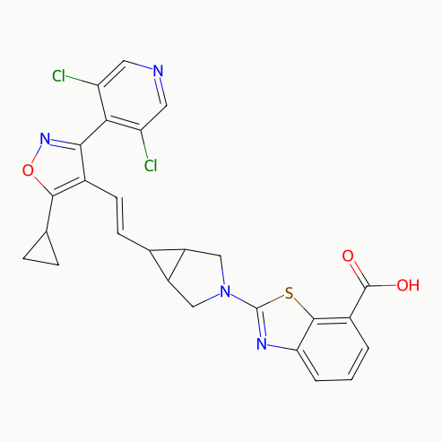 O=C(O)c1cccc2nc(N3CC4C(C=Cc5c(-c6c(Cl)cncc6Cl)noc5C5CC5)C4C3)sc12